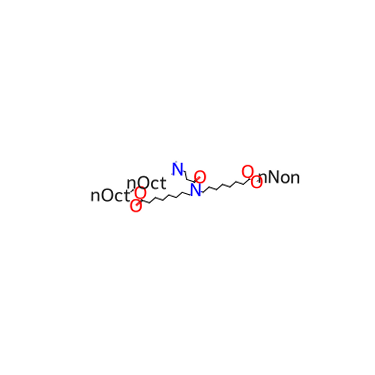 CCCCCCCCCOC(=O)CCCCCCCN(CCCCCCCC(=O)OC(CCCCCCCC)CCCCCCCC)C(=O)CCN(C)C